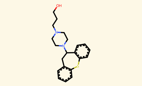 OCCCN1CCN(C2Cc3ccccc3Sc3ccccc32)CC1